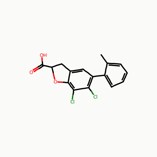 Cc1ccccc1-c1cc2c(c(Cl)c1Cl)OC(C(=O)O)C2